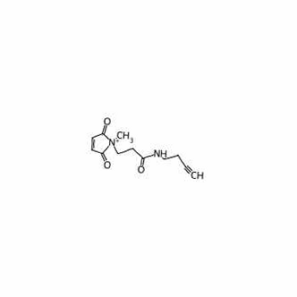 C#CCCNC(=O)CC[N+]1(C)C(=O)C=CC1=O